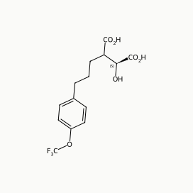 O=C(O)C(CCCc1ccc(OC(F)(F)F)cc1)[C@H](O)C(=O)O